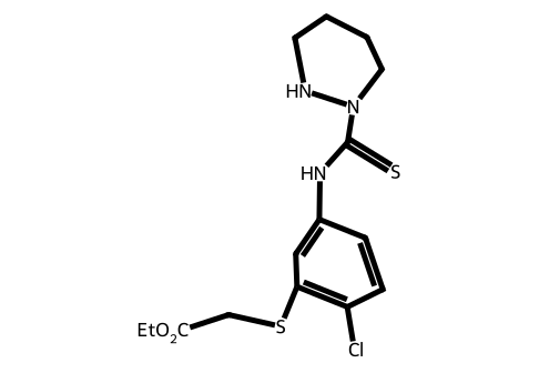 CCOC(=O)CSc1cc(NC(=S)N2CCCCN2)ccc1Cl